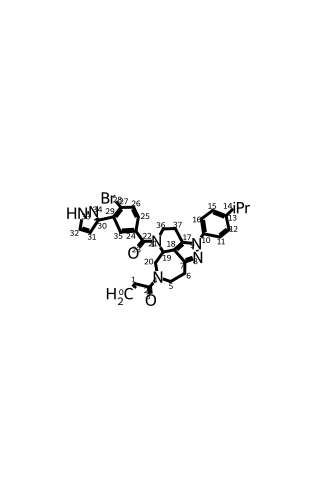 C=CC(=O)N1CCc2nn(-c3ccc(C(C)C)cc3)c3c2C(C1)N(C(=O)c1ccc(Br)c(-c2cc[nH]n2)c1)CC3